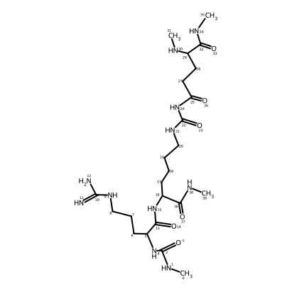 CNC(=O)NC(CCCNC(=N)N)C(=O)NC(CCCCNC(=O)NC(=O)CCC(NC)C(=O)NC)C(=O)NC